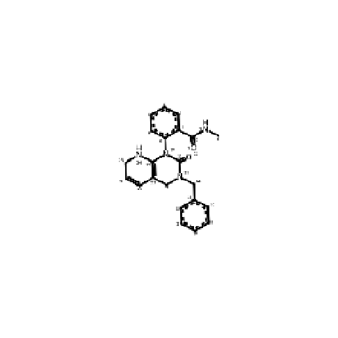 CNC(=O)c1ccccc1N1C(=O)N(Cc2ccccc2)CC2=C1NCC=C2